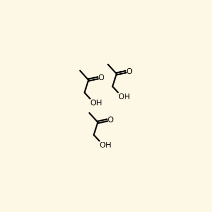 CC(=O)CO.CC(=O)CO.CC(=O)CO